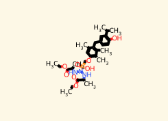 CCOC(=O)C(C)NN(NC(C)C(=O)OCC)P(=O)(O)COc1cc(C)c(Cc2ccc(O)c(C(C)C)c2)c(C)c1C